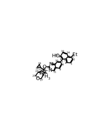 CCc1cccc2c(-c3ccc4cnc(OC(C)(C5CC5)N5C6CCC5COC6)nc4c3)c(O)ccc12